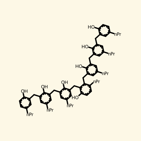 CCCc1ccc(O)c(Cc2cc(CCC)cc(Cc3cc(CCC)cc(Cc4c(O)ccc(CCC)c4Cc4cc(CCC)cc(Cc5cc(CCC)cc(Cc6cc(CCC)ccc6O)c5O)c4O)c3O)c2O)c1